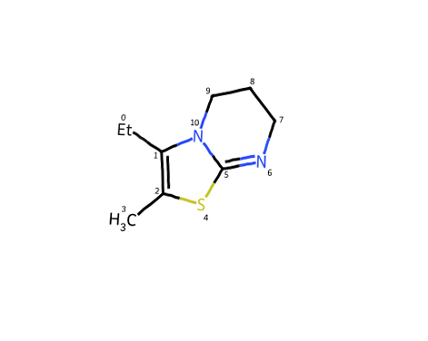 CCC1=C(C)SC2=NCCCN21